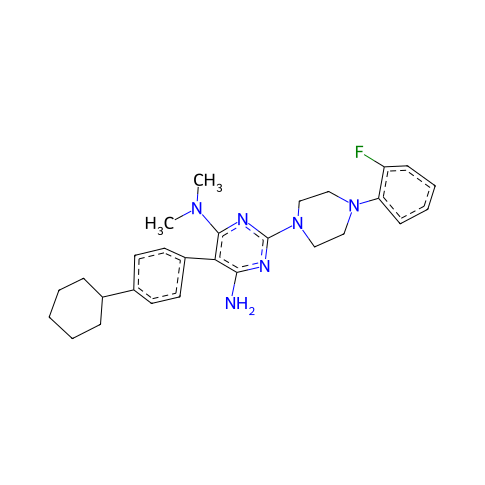 CN(C)c1nc(N2CCN(c3ccccc3F)CC2)nc(N)c1-c1ccc(C2CCCCC2)cc1